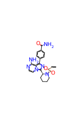 C=CS(=O)(=O)N1CCCC[C@H]1c1nc(-c2ccc(C(N)=O)cc2)c2c(N)nccn12